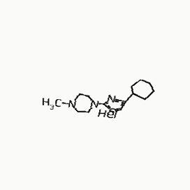 CN1CCN(c2nc(C3CCCCC3)cs2)CC1.Cl